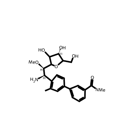 CNC(=O)c1cccc(-c2ccc([C@@H](N)[C@@H](OC)C3OC(CO)[C@@H](O)C3O)c(C)c2)c1